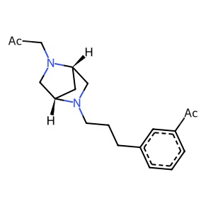 CC(=O)CN1C[C@@H]2C[C@H]1CN2CCCc1cccc(C(C)=O)c1